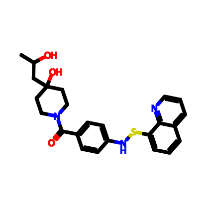 CC(O)CC1(O)CCN(C(=O)c2ccc(NSc3cccc4cccnc34)cc2)CC1